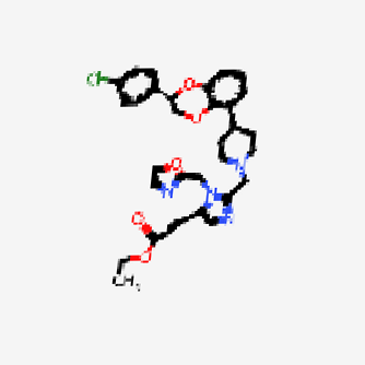 CCOC(=O)/C=C/c1cnc(CN2CCC(c3cccc4c3OC[C@@H](c3ccc(Cl)cc3)O4)CC2)n1Cc1ncco1